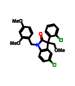 COCC1(c2ccccc2Cl)C(=O)N(Cc2ccc(OC)cc2OC)c2ccc(Cl)cc21